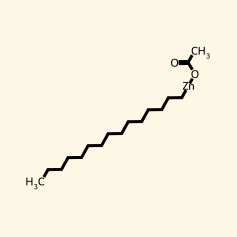 CCCCCCCCCCCCCC[CH2][Zn][O]C(C)=O